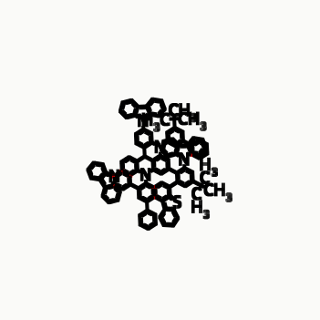 CC(C)(C)c1cc(-c2ccccc2)cc(N2c3cc(-n4c5ccccc5c5ccccc54)ccc3C3c4ccc(-n5c6ccccc6c6ccccc65)cc4N(c4ccc(-c5ccccc5)cc4-c4ccccc4)c4cc(-c5c(-c6cccc7c6sc6ccccc67)cc(C(C)(C)C)cc5-n5c6ccccc6c6ccccc65)cc2c43)c1